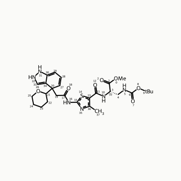 COC(=O)[C@H](CNC(=O)OC(C)(C)C)NC(=O)c1sc(NC(=O)CC2(C3CCCCO3)C=CC=C3NNC=C32)nc1C